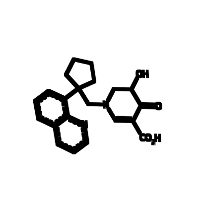 O=C(O)C1=CN(CC2(c3cccc4cccnc34)CCCC2)CC(O)C1=O